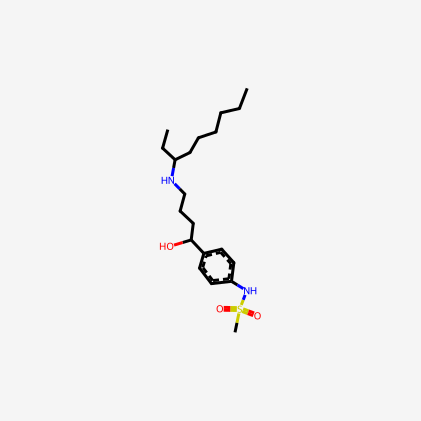 CCCCCCC(CC)NCCCC(O)c1ccc(NS(C)(=O)=O)cc1